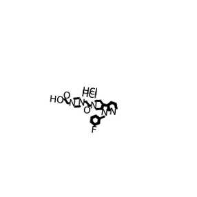 Cl.Cl.O=C(O)CN1CCN(CC(=O)N2CCc3c(n(Cc4cccc(F)c4)c4ncccc34)C2)CC1